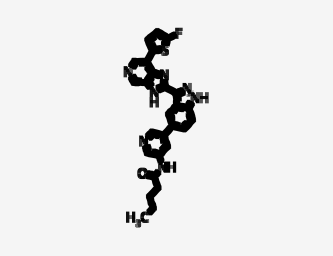 CCCCC(=O)Nc1cncc(-c2ccc3[nH]nc(-c4nc5c(-c6ccc(F)s6)cncc5[nH]4)c3c2)c1